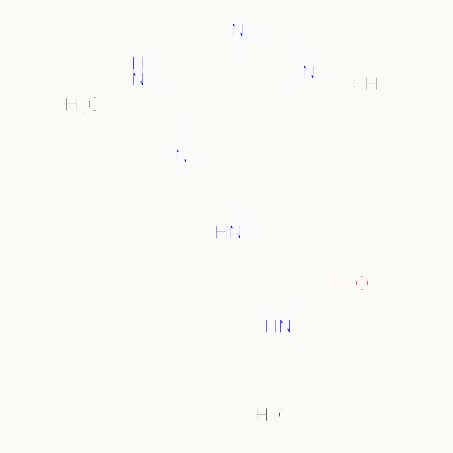 CCNC(=O)c1cc2c(nc(NC)c3ncn(C)c32)[nH]1